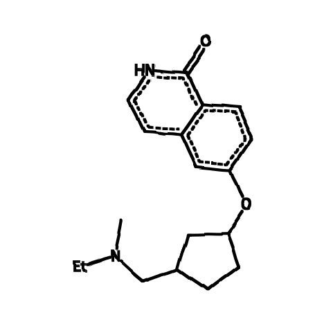 CCN(C)CC1CCC(Oc2ccc3c(=O)[nH]ccc3c2)C1